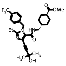 CCc1nc(C#CC(C)(C)O)c(C(=O)NC[C@H]2CC[C@H](C(=O)OC)CC2)n1Cc1ccc(C(F)(F)F)cc1